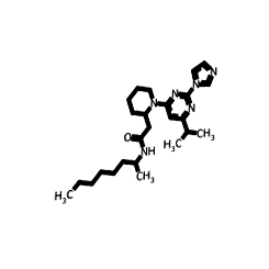 CCCCCCC(C)NC(=O)CC1CCCCN1c1cc(C(C)C)nc(-n2ccnc2)n1